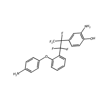 Nc1ccc(Oc2ccccc2C(F)(F)C(F)(c2ccc(O)c(N)c2)C(F)(F)F)cc1